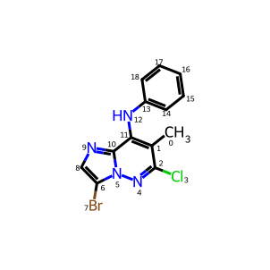 Cc1c(Cl)nn2c(Br)cnc2c1Nc1ccccc1